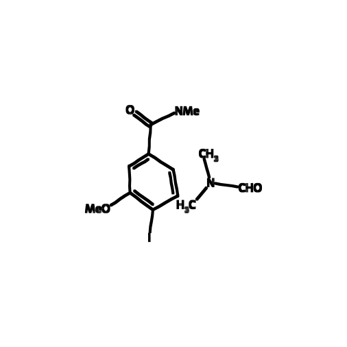 CN(C)C=O.CNC(=O)c1ccc(I)c(OC)c1